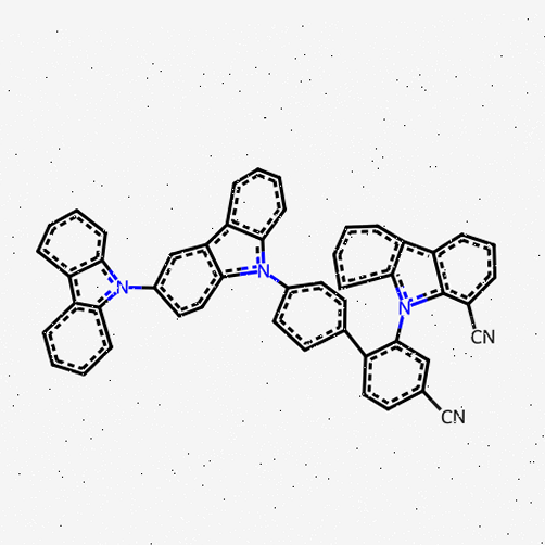 N#Cc1ccc(-c2ccc(-n3c4ccccc4c4cc(-n5c6ccccc6c6ccccc65)ccc43)cc2)c(-n2c3ccccc3c3cccc(C#N)c32)c1